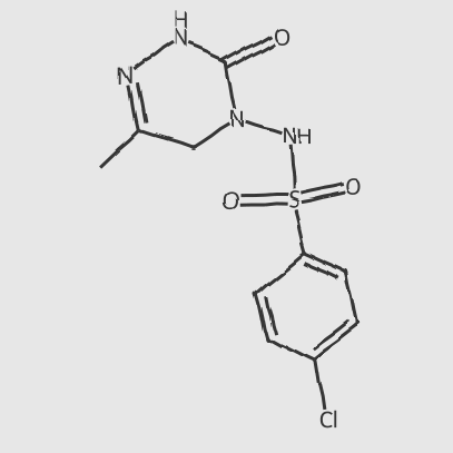 CC1=NNC(=O)N(NS(=O)(=O)c2ccc(Cl)cc2)C1